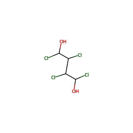 OC(Cl)C(Cl)C(Cl)C(O)Cl